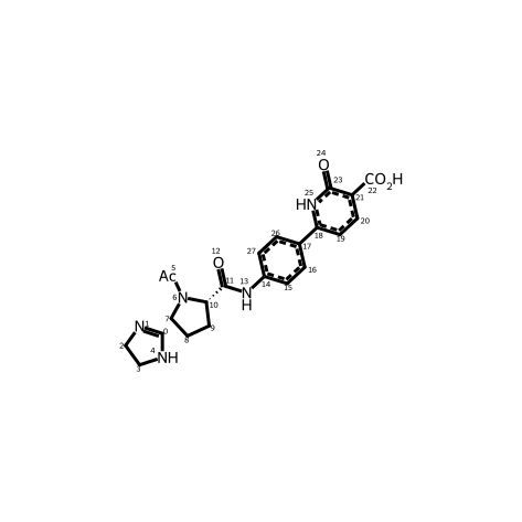 C1=NCCN1.CC(=O)N1CCC[C@H]1C(=O)Nc1ccc(-c2ccc(C(=O)O)c(=O)[nH]2)cc1